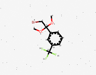 COC(CBr)(OC)c1cccc(C(F)(F)F)c1